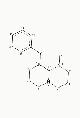 CN1CCCN2CCCN(Cc3ccccc3)C12